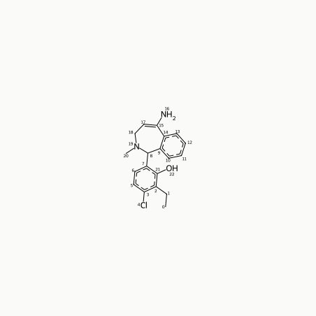 CCc1c(Cl)ccc(C2c3ccccc3C(N)=CCN2C)c1O